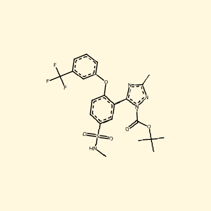 CNS(=O)(=O)c1ccc(Oc2cccc(C(F)(F)F)c2)c(-c2nc(C)nn2C(=O)OC(C)(C)C)c1